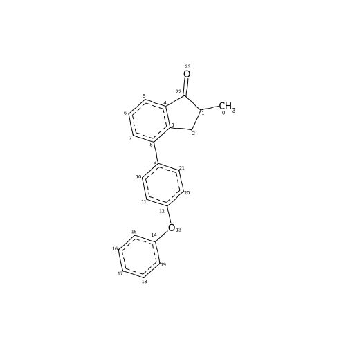 CC1Cc2c(cccc2-c2ccc(Oc3ccccc3)cc2)C1=O